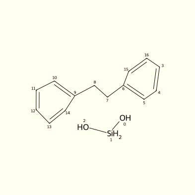 O[SiH2]O.c1ccc(CCc2ccccc2)cc1